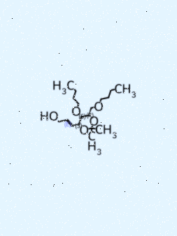 CCCCOC[C@H]1OC(C)(C)O[C@@H](/C=C/CO)[C@@H]1OCCCC